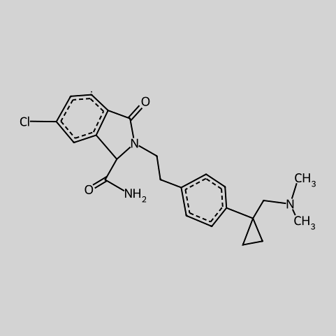 CN(C)CC1(c2ccc(CCN3C(=O)c4[c]cc(Cl)cc4C3C(N)=O)cc2)CC1